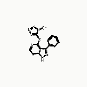 Cn1nnnc1Sc1ncnc2[nH]nc(-c3ccccc3)c12